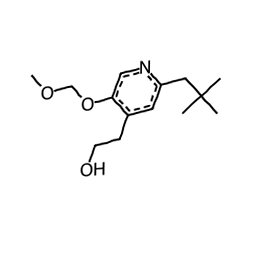 COCOc1cnc(CC(C)(C)C)cc1CCO